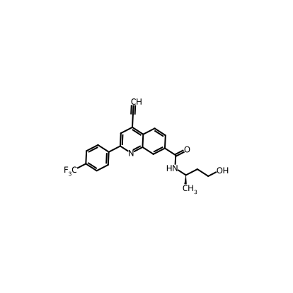 C#Cc1cc(-c2ccc(C(F)(F)F)cc2)nc2cc(C(=O)N[C@H](C)CCO)ccc12